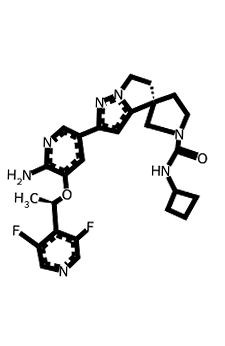 C[C@@H](Oc1cc(-c2cc3n(n2)CC[C@@]32CCN(C(=O)NC3CCC3)C2)cnc1N)c1c(F)cncc1F